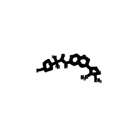 [2H]C([2H])(C(=O)Nc1cc2cc(-c3cnc(C)n3C)cnc2cn1)c1ccc(F)cc1